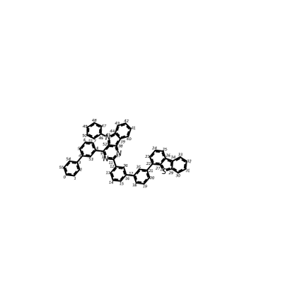 c1ccc(-c2cccc(-c3nc(-c4cccc(-c5cccc(-c6cccc7c6sc6ccccc67)c5)c4)nc4c5ccccc5n(-c5ccccc5)c34)c2)cc1